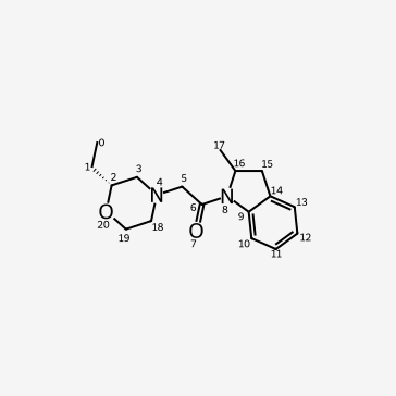 CC[C@@H]1CN(CC(=O)N2c3ccccc3CC2C)CCO1